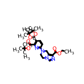 CCOC(=O)c1ncn2c1CN(c1ccc(B3OC(C)(C)C(C)(C)O3)c(C(=O)OC(C)(C)C)n1)CC2